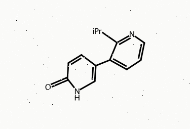 CC(C)c1ncccc1-c1ccc(=O)[nH]c1